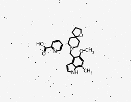 COc1cc(C)c2[nH]ccc2c1CN1CCC2(CCCO2)C[C@H]1c1ccc(C(=O)O)nc1